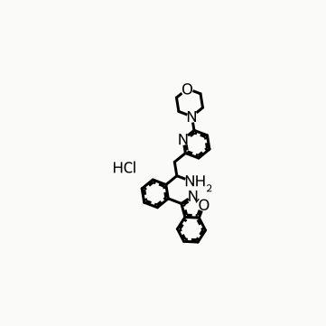 Cl.NC(Cc1cccc(N2CCOCC2)n1)c1ccccc1-c1noc2ccccc12